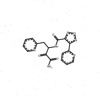 NC(=O)C(=O)C(Cc1ccccn1)NC(=O)c1nonc1-c1ccccn1